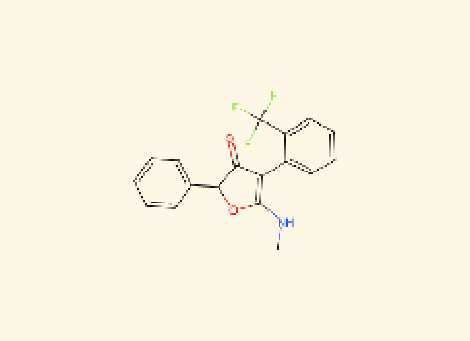 CNC1=C(c2ccccc2C(F)(F)F)C(=O)C(c2ccccc2)O1